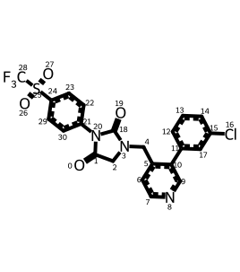 O=C1CN(Cc2ccncc2-c2cccc(Cl)c2)C(=O)N1c1ccc(S(=O)(=O)C(F)(F)F)cc1